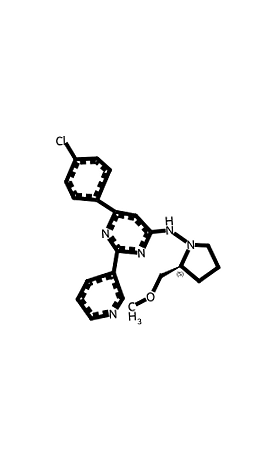 COC[C@@H]1CCCN1Nc1cc(-c2ccc(Cl)cc2)nc(-c2cccnc2)n1